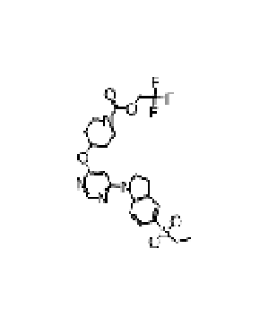 CCS(=O)(=O)c1ccc2c(c1)CCN2c1cc(OC2CCN(C(=O)OCC(F)(F)F)CC2)ncn1